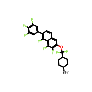 CCCC1CCC(C(F)(F)Oc2cc3ccc(-c4cc(F)c(F)c(F)c4)c(F)c3c(F)c2F)CC1